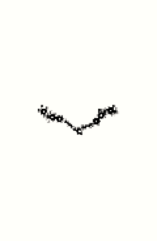 CCCC(COCCCCCOc1ccc(-c2cc(F)c(C(F)(F)Oc3cc(F)c(F)c(F)c3)c(F)c2)cc1)COCCCCCOc1ccc(-c2cc(F)c(C(F)(F)Oc3cc(F)c(C(F)(F)F)c(F)c3)c(F)c2)cc1